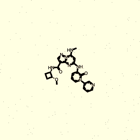 CNc1cc(Nc2cccn(-c3cccnc3)c2=O)nc2c(C(=O)N[C@@H]3CC[C@H]3OC)cnn12